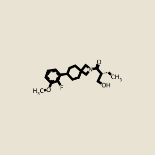 CC[C@H](CO)C(=O)N1CC2(CCC(c3cccc(OC)c3F)CC2)C1